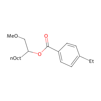 CCCCCCCCC(COC)OC(=O)c1ccc(CC)cc1